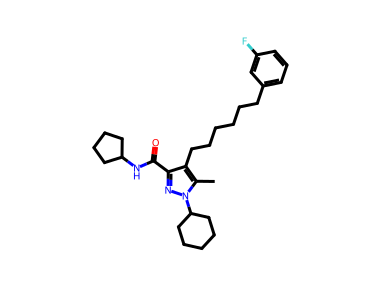 Cc1c(CCCCCCc2cccc(F)c2)c(C(=O)NC2CCCC2)nn1C1CCCCC1